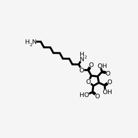 NCCCCCCCCC(N)OC(=O)C1OC(C(=O)O)C(C(=O)O)C1C(=O)O